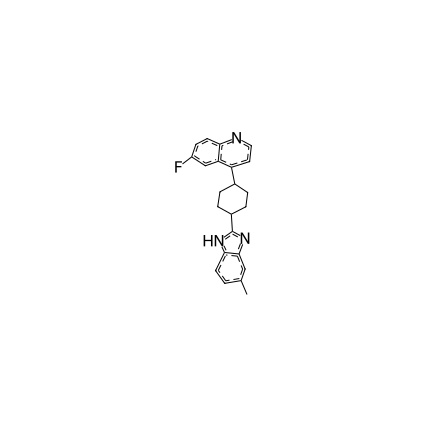 Cc1ccc2[nH]c(C3CCC(c4ccnc5ccc(F)cc45)CC3)nc2c1